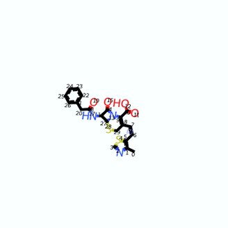 Cc1ncsc1/C=C\C1=C(C(=O)O)N2C(=O)C(NC(=O)Cc3ccccc3)C2SC1